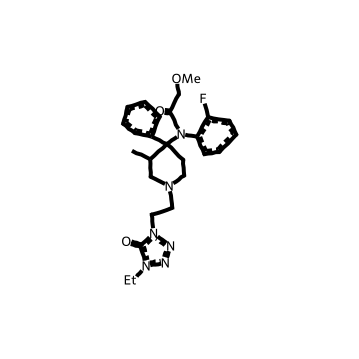 CCn1nnn(CCN2CCC(c3ccccc3)(N(C(=O)COC)c3ccccc3F)C(C)C2)c1=O